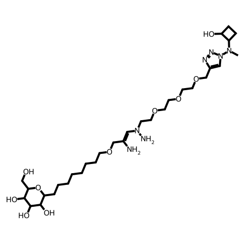 CN(C1CCC1O)n1cc(COCCOCCOCCN(N)/C=C(\N)COCCCCCCCCC2OC(CO)C(O)C(O)C2O)nn1